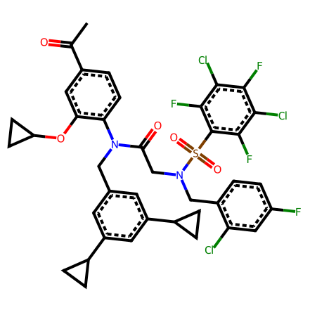 CC(=O)c1ccc(N(Cc2cc(C3CC3)cc(C3CC3)c2)C(=O)CN(Cc2ccc(F)cc2Cl)S(=O)(=O)c2c(F)c(Cl)c(F)c(Cl)c2F)c(OC2CC2)c1